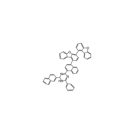 c1ccc(C2=NC(c3ccc(-c4ccc(-c5cccc6oc7ccccc7c56)c5oc6ccccc6c45)c4ccccc34)=NC(c3ccc4ccccc4c3)N2)cc1